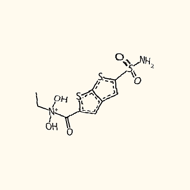 CC[N+](O)(O)C(=O)c1cc2cc(S(N)(=O)=O)sc2s1